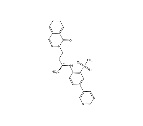 CS(=O)(=O)c1cc(-c2cncnc2)ccc1N[C@H](CCn1nnc2ccccc2c1=O)C(=O)O